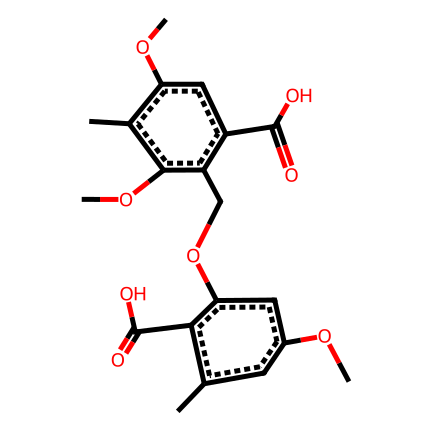 COc1cc(C)c(C(=O)O)c(OCc2c(C(=O)O)cc(OC)c(C)c2OC)c1